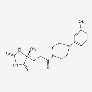 Cc1cccc(N2CCN(C(=O)CC[C@@]3(C)NC(=O)NC3=O)CC2)c1